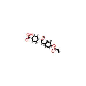 C=CC(=O)Oc1ccc(CC(=O)[C@H]2CC[C@H](C(=O)O)CC2)cc1